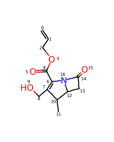 C=CCOC(=O)C1=C(CO)C(C)C2CC(=O)N12